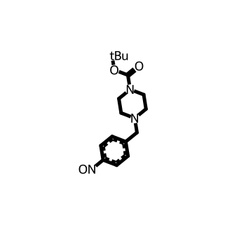 CC(C)(C)OC(=O)N1CCN(Cc2ccc(N=O)cc2)CC1